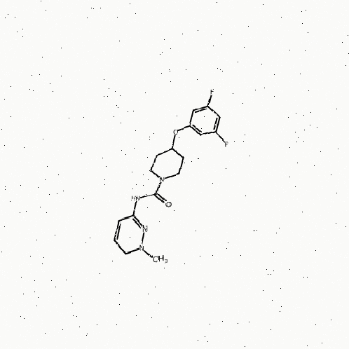 CN1CC=CC(NC(=O)N2CCC(Oc3cc(F)cc(F)c3)CC2)=N1